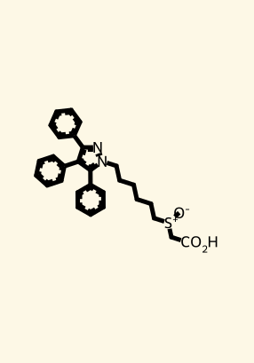 O=C(O)C[S+]([O-])CCCCCCn1nc(-c2ccccc2)c(-c2ccccc2)c1-c1ccccc1